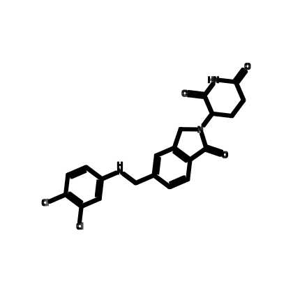 O=C1CCC(N2Cc3cc(CNc4ccc(Cl)c(Cl)c4)ccc3C2=O)C(=O)N1